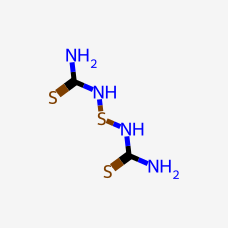 NC(=S)NSNC(N)=S